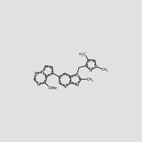 COc1ncnn2ccc(-c3cnc4nc(C)n(Cc5nn(C)cc5C)c4c3)c12